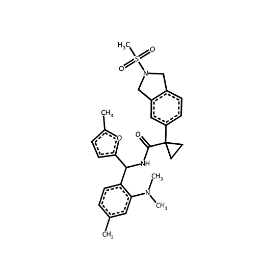 Cc1ccc(C(NC(=O)C2(c3ccc4c(c3)CN(S(C)(=O)=O)C4)CC2)c2ccc(C)o2)c(N(C)C)c1